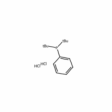 CC(C)(C)P(c1ccccc1)C(C)(C)C.Cl.Cl